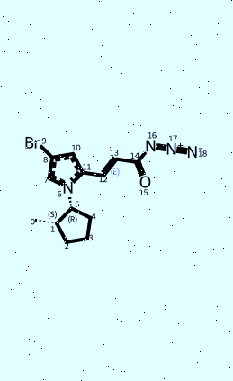 C[C@H]1CCC[C@H]1n1cc(Br)cc1/C=C/C(=O)N=[N+]=[N-]